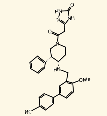 COc1ccc(-c2ccc(C#N)cc2)cc1CN[C@H]1CCN(C(=O)Cc2n[nH]c(=O)[nH]2)C[C@H]1c1ccccc1